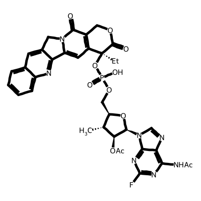 CC[C@@]1(OP(=O)(O)OC[C@H]2O[C@@H](n3cnc4c(NC(C)=O)nc(F)nc43)[C@@H](OC(C)=O)[C@@H]2C)C(=O)OCc2c1cc1n(c2=O)Cc2cc3ccccc3nc2-1